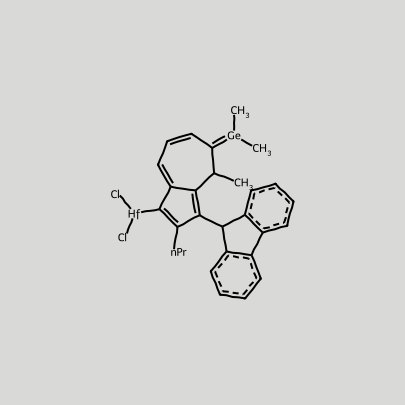 CCCC1=[C]([Hf]([Cl])[Cl])C2=CC=C[C](=[Ge]([CH3])[CH3])C(C)C2=C1C1c2ccccc2-c2ccccc21